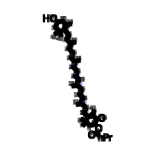 CCCC(=O)OC1CC(C)(C)C(/C=C/C(C)=C/C=C/C(C)=C/C=C/C=C(C)/C=C/C=C(C)/C=C/C2=C(C)CC(O)CC2(C)C)=C(C)C1=O